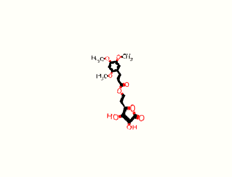 COc1cc(OC)c(OC)cc1/C=C/C(=O)OCC[C@H]1OC(=O)C(O)=C1O